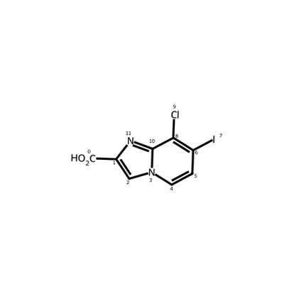 O=C(O)c1cn2ccc(I)c(Cl)c2n1